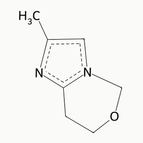 Cc1cn2c(n1)CCOC2